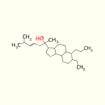 CCCC1C(CC)CCC2C1CCC1C2CCC1C(C)(O)C/C=C/C(C)C